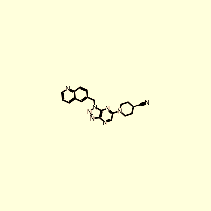 N#CC1CCN(c2cnc3nnn(Cc4ccc5ncccc5c4)c3n2)CC1